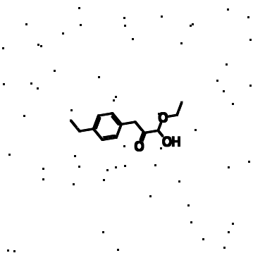 CCOC(O)C(=O)Cc1ccc(CC)cc1